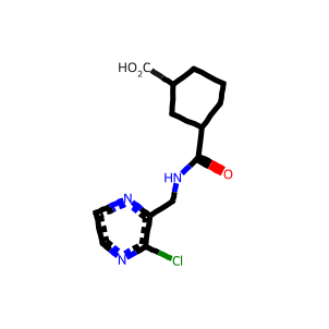 O=C(O)C1CCCC(C(=O)NCc2nccnc2Cl)C1